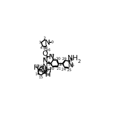 CN1CCC[C@H]1COc1nc(N2C[C@H]3CC[C@@H](C2)N3)c2ccc(-c3ccnc(N)c3)cc2n1